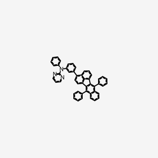 c1ccc(-c2c3c(c(-c4ccccc4)c4ccccc24)-c2ccc(-c4cccc(N(c5ccccc5)c5ncccn5)c4)c4cccc-3c24)cc1